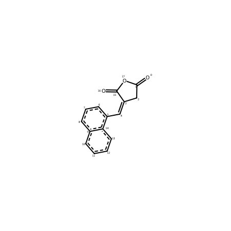 O=C1C/C(=C/c2cccc3ccccc23)C(=O)O1